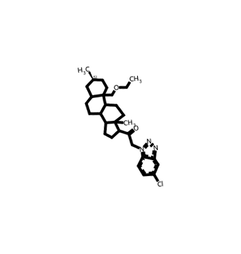 CCOCC12CC[C@H](C)CC1CCC1C3CCC(C(=O)Cn4nnc5cc(Cl)ccc54)C3(C)CCC12